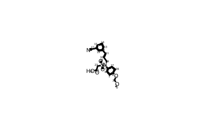 COCOc1ccc(N(C/C=C/c2cccc(C#N)c2)S(=O)(=O)CC(=O)O)cc1